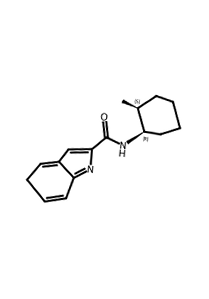 C[C@H]1CCCC[C@H]1NC(=O)C1=CC2=CCC=CC2=N1